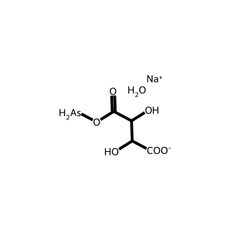 O.O=C([O-])C(O)C(O)C(=O)O[AsH2].[Na+]